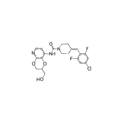 O=C(Nc1ccnc2c1OC(CO)CO2)N1CCC(=Cc2c(F)cc(Cl)cc2F)CC1